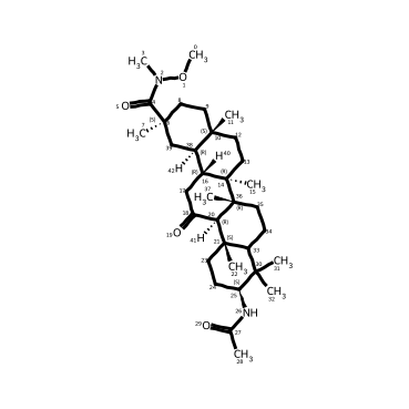 CON(C)C(=O)[C@@]1(C)CC[C@]2(C)CC[C@]3(C)[C@H](CC(=O)[C@@H]4[C@@]5(C)CC[C@H](NC(C)=O)C(C)(C)C5CC[C@]43C)[C@H]2C1